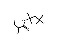 CC(CI)C(=O)NC(C)(C)CC(C)(C)C